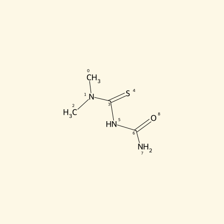 CN(C)C(=S)NC(N)=O